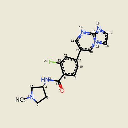 N#CN1CC[C@@H](NC(=O)c2ccc(-c3cnc4nccn4c3)cc2F)C1